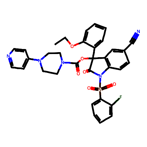 CCOc1ccccc1C1(OC(=O)N2CCN(c3ccncc3)CC2)C(=O)N(S(=O)(=O)c2ccccc2F)c2ccc(C#N)cc21